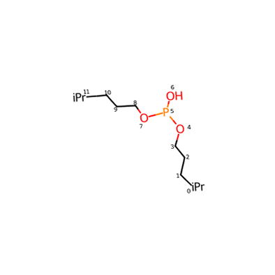 CC(C)CCCOP(O)OCCCC(C)C